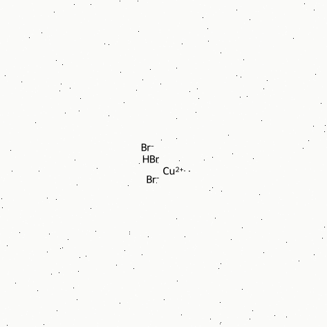 Br.[Br-].[Br-].[Cu+2]